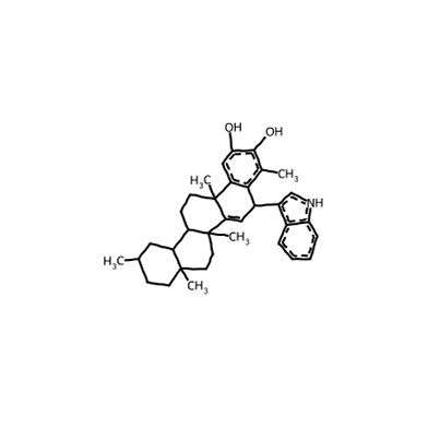 Cc1c(O)c(O)cc2c1C(c1c[nH]c3ccccc13)C=C1C2(C)CCC2C3CC(C)CCC3(C)CCC12C